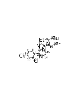 CCc1nc2c(-c3ccc(Cl)cc3Cl)nccn2c1N(CC(C)C)CC(C)CC